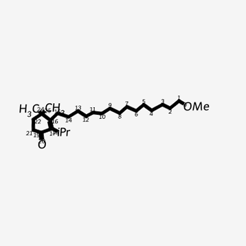 COCCCCCCCCCCCCCCCC1=C(C(C)C)C(=O)CCC1(C)C